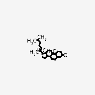 CC(C)CCC[C@@H](C)[C@H]1CCC2C3C=CC4=CC(=O)CC[C@]4(C)C3CC[C@@]21C